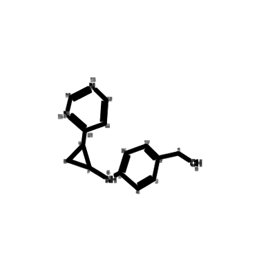 OCc1ccc(NC2CC2c2ccncn2)cc1